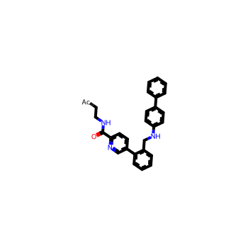 CC(=O)CCNC(=O)c1ccc(-c2ccccc2CNc2ccc(-c3ccccc3)cc2)cn1